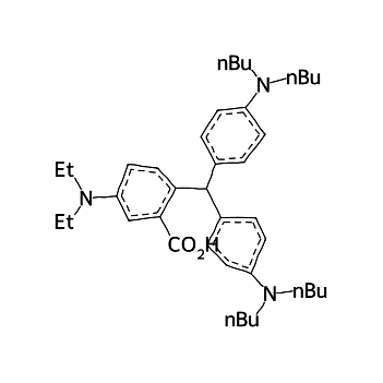 CCCCN(CCCC)c1ccc(C(c2ccc(N(CCCC)CCCC)cc2)c2ccc(N(CC)CC)cc2C(=O)O)cc1